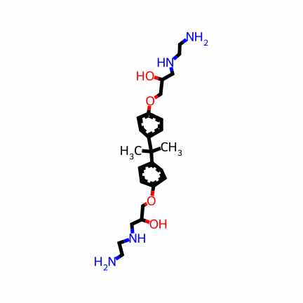 CC(C)(c1ccc(OCC(O)CNCCN)cc1)c1ccc(OCC(O)CNCCN)cc1